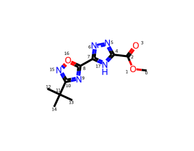 COC(=O)c1nnc(-c2nc(C(C)(C)C)no2)[nH]1